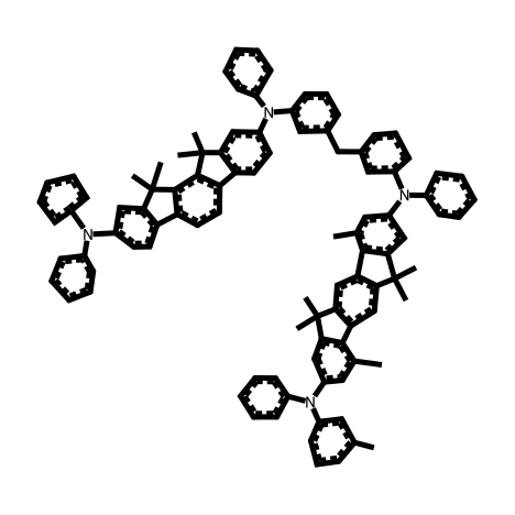 Cc1cccc(N(c2ccccc2)c2cc(C)c3c(c2)C(C)(C)c2cc4c(cc2-3)C(C)(C)c2cc(N(c3ccccc3)c3cccc(Cc5cccc(N(c6ccccc6)c6ccc7c(c6)C(C)(C)c6c-7ccc7c6C(C)(C)c6cc(N(c8ccccc8)c8ccccc8)ccc6-7)c5)c3)cc(C)c2-4)c1